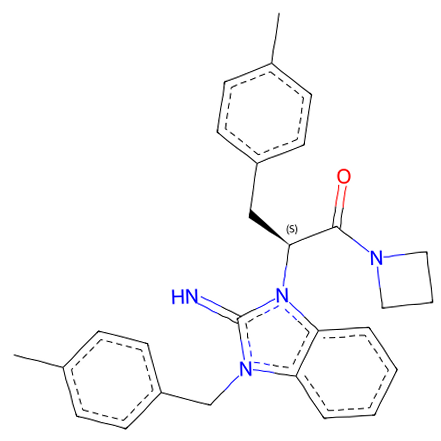 Cc1ccc(C[C@@H](C(=O)N2CCC2)n2c(=N)n(Cc3ccc(C)cc3)c3ccccc32)cc1